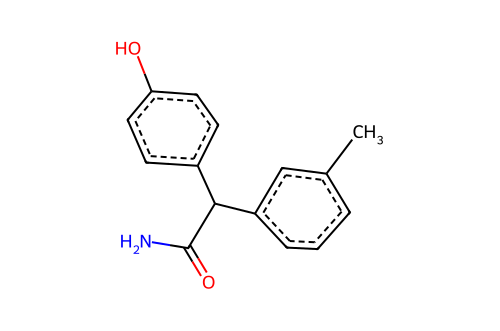 Cc1cccc(C(C(N)=O)c2ccc(O)cc2)c1